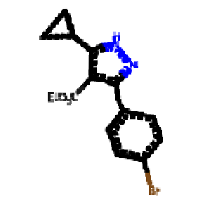 CCOC(=O)c1c(-c2ccc(Br)cc2)n[nH]c1C1CC1